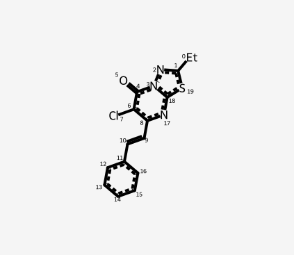 CCc1nn2c(=O)c(Cl)c(/C=C/c3ccccc3)nc2s1